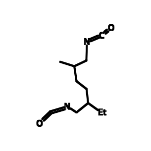 CCC(CCC(C)CN=C=O)CN=C=O